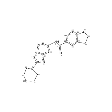 O=C(Nc1ccc2sc(N3CCOCC3)nc2c1)c1ccc2c(c1)CCO2